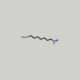 [2H]NCCCCCCCCCCCC